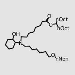 CCCCCCCCCOCCCCCCCN(CCCCCCCC(=O)OC(CCCCCCCC)CCCCCCCC)C1CCCCC1O